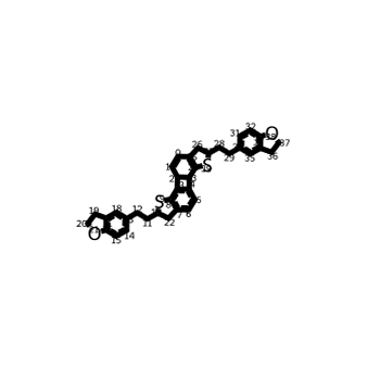 C1=CC2c3c(ccc4c3SC(CCc3ccc5c(c3)CCO5)C4)C2C2=C1CC(CCc1ccc3c(c1)CCO3)S2